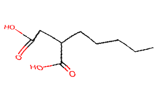 CCCCCC(CC(=O)O)C(=O)O